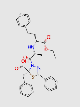 CCOC(=O)[C@H](CCc1ccccc1)N[C@@H](C)C(=O)N1N=C(c2ccccc2)S[C@@]1(Cc1ccccc1)C(=O)O